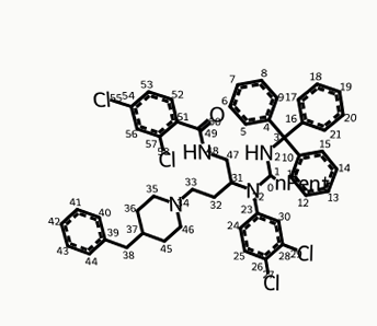 CCCCCC(NC(c1ccccc1)(c1ccccc1)c1ccccc1)N(c1ccc(Cl)c(Cl)c1)C(CCN1CCC(Cc2ccccc2)CC1)CNC(=O)c1ccc(Cl)cc1Cl